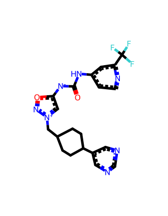 O=C([N-]c1c[n+](CC2CCC(c3cncnc3)CC2)no1)Nc1ccnc(C(F)(F)F)c1